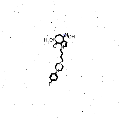 CN1CC/C(=N/O)c2ccn(CCCCN3CCN(c4ccc(F)cc4)CC3)c2C1=O